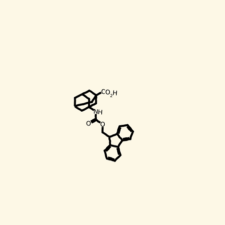 O=C(NC12CC3CC(C1)CC(C(=O)O)(C3)C2)OCC1c2ccccc2-c2ccccc21